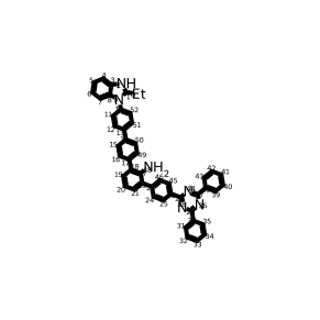 CCC1Nc2ccccc2N1c1ccc(-c2ccc(-c3cccc(-c4ccc(-c5nc(-c6ccccc6)nc(-c6ccccc6)n5)cc4)c3N)cc2)cc1